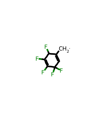 [CH2]C1=CC(F)(F)C(F)=C(F)C1F